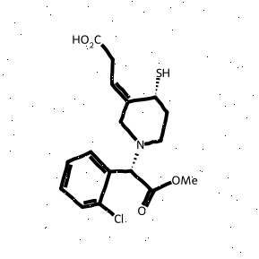 COC(=O)[C@H](c1ccccc1Cl)N1CC[C@@H](S)/C(=C\CC(=O)O)C1